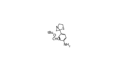 CC(C)(C)OC=O.Nc1ccc(C23CN2CCS3)cc1